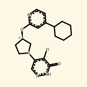 O=c1[nH]ncc(N2CC[C@@H](Oc3cc(C4CCCCC4)ccn3)C2)c1Cl